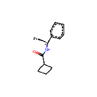 CC(C)[C@H](NC(=O)C1CCC1)c1ccccc1